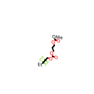 CCC(F)(F)C(F)(F)COC(=O)OCCCOC(=O)OC